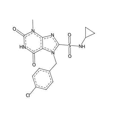 Cn1c(=O)[nH]c(=O)c2c1nc(S(=O)(=O)NC1CC1)n2Cc1ccc(Cl)cc1